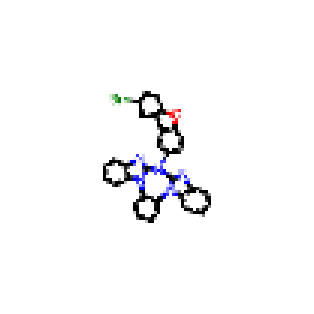 Brc1ccc2oc3ccc(-n4c5nc6ccccc6n5c5ccccc5n5c6ccccc6nc45)cc3c2c1